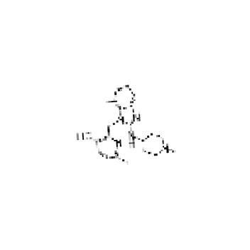 Cc1ccc(O)c(Cn2c(NC3CCN(C)CC3)nc3cccc(C)c32)n1